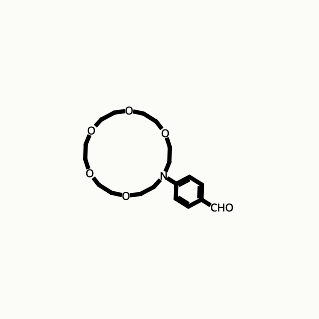 O=Cc1ccc(N2CCOCCOCCOCCOCCOCC2)cc1